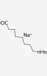 CCCCCCCCCCCCCCC(=O)[O-].[Na+]